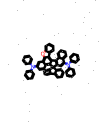 c1ccc(N(c2ccccc2)c2ccc3c4c(c5c6ccccc6oc5c3c2)-c2c(cc(N(c3ccccc3)c3ccccc3)c3ccccc23)C42c3ccccc3-c3ccccc32)cc1